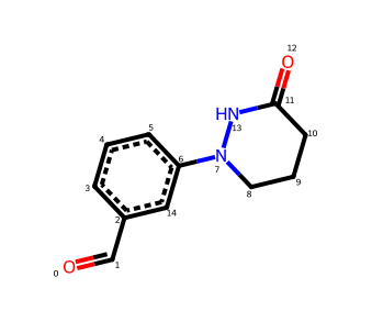 O=Cc1cccc(N2CCCC(=O)N2)c1